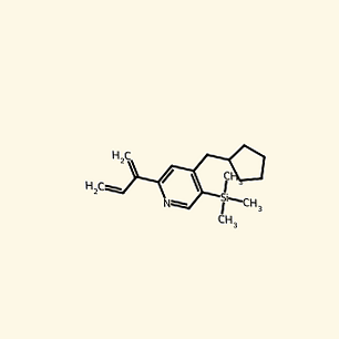 C=CC(=C)c1cc(CC2CCCC2)c([Si](C)(C)C)cn1